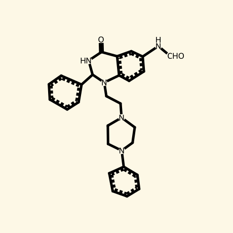 O=CNc1ccc2c(c1)C(=O)NC(c1ccccc1)N2CCN1CCN(c2ccccc2)CC1